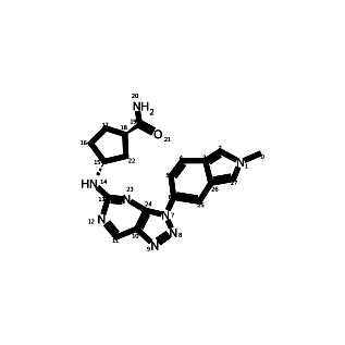 Cn1cc2ccc(-n3nnc4cnc(N[C@@H]5CC[C@@H](C(N)=O)C5)nc43)cc2c1